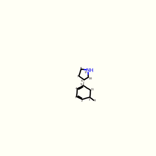 CC1C=CC=C([C@@H]2CCNC2)C1